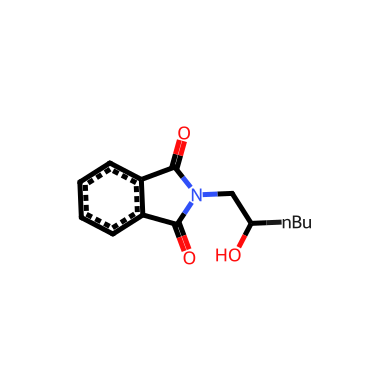 CCCCC(O)CN1C(=O)c2ccccc2C1=O